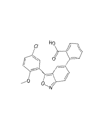 COc1ccc(Cl)cc1-c1onc2ccc(-c3ccccc3C(=O)O)cc12